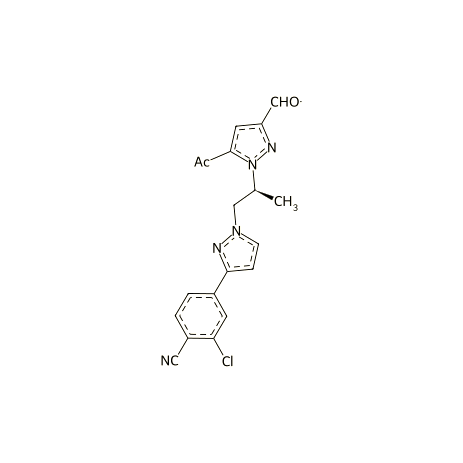 CC(=O)c1cc([C]=O)nn1[C@@H](C)Cn1ccc(-c2ccc(C#N)c(Cl)c2)n1